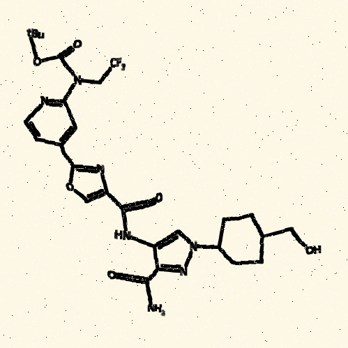 CC(C)(C)OC(=O)N(CC(F)(F)F)c1cc(-c2nc(C(=O)Nc3cn(C4CCC(CO)CC4)nc3C(N)=O)co2)ccn1